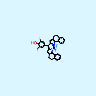 Oc1c(I)cc(C2=C3C=C4CCc5ccccc5C4=[N+]3[B-](F)(F)n3c2cc2c3-c3ccccc3CC2)cc1I